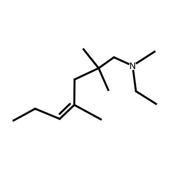 CCC=C(C)CC(C)(C)CN(C)CC